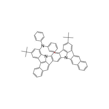 CC(C)(C)c1cc(N(c2ccccc2)c2ccccc2)c2c(c1)c1c3ccccc3cc3c4cc5c(cc4n2c31)c1cc(C(C)(C)C)cc2c3cc4ccccc4cc3n5c21